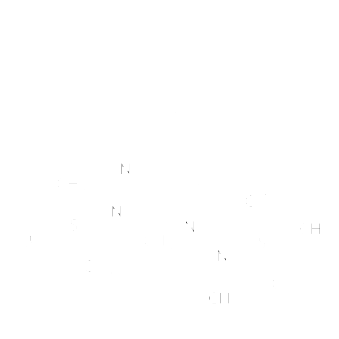 CN(N=C(C(=NN(C)[Si](C)(C)C)c1ccccc1)c1ccccc1)[Si](C)(C)C